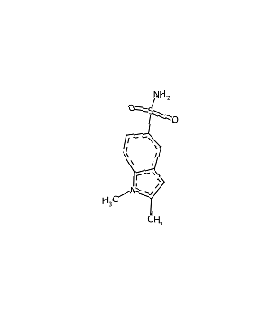 Cc1cc2cc(S(N)(=O)=O)ccc2n1C